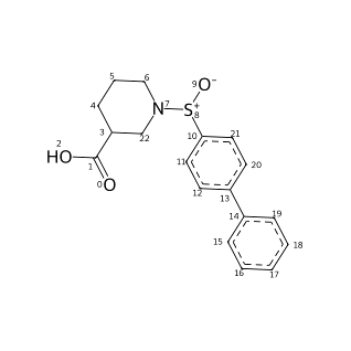 O=C(O)C1CCCN([S+]([O-])c2ccc(-c3ccccc3)cc2)C1